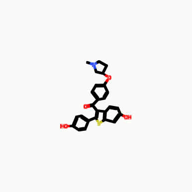 CN1CC[C@@H](Oc2ccc(C(=O)c3c(-c4ccc(O)cc4)sc4cc(O)ccc34)cc2)C1